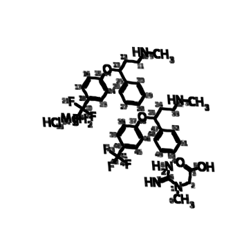 CN(CC(=O)O)C(=N)N.CNCCC(Oc1ccc(C(F)(F)F)cc1)c1ccccc1.CNCCC(Oc1ccc(C(F)(F)F)cc1)c1ccccc1.Cl.[MgH2]